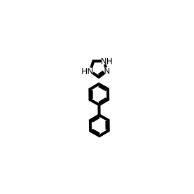 C1=NNCN1.c1ccc(-c2ccccc2)cc1